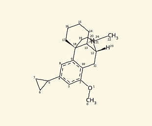 COc1cc(C2CC2)cc2c1C[C@@H]1[C@@H]3CCCC[C@]23CCN1C